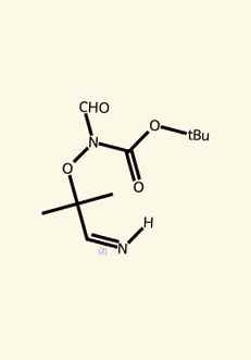 [H]/N=C\C(C)(C)ON(C=O)C(=O)OC(C)(C)C